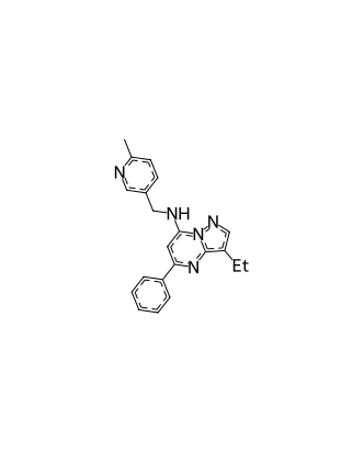 CCc1cnn2c(NCc3ccc(C)nc3)cc(-c3ccccc3)nc12